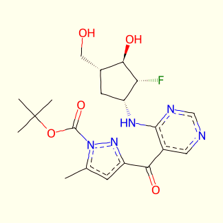 Cc1cc(C(=O)c2cncnc2N[C@@H]2C[C@H](CO)[C@@H](O)[C@@H]2F)nn1C(=O)OC(C)(C)C